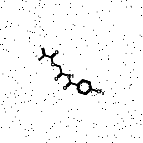 C=C(C)C(=O)OCC(=O)NC(=O)c1ccc(C(F)(F)F)cc1